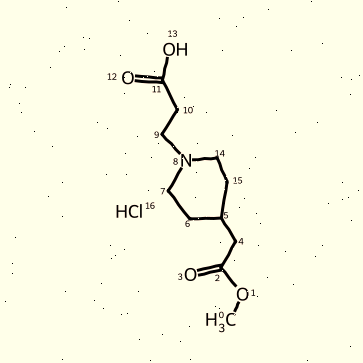 COC(=O)CC1CCN(CCC(=O)O)CC1.Cl